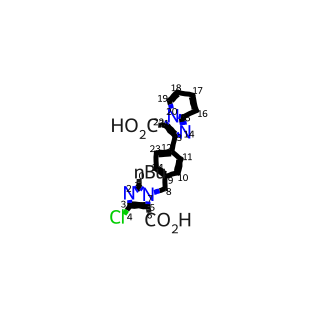 CCCCc1nc(Cl)c(C(=O)O)n1Cc1ccc(-c2nc3ccccn3c2C(=O)O)cc1